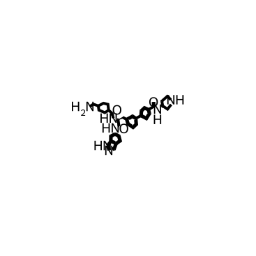 NCC1CCC(C(=O)N[C@@H](Cc2cccc(-c3ccc(C(=O)NC4CCNCC4)cc3)c2)C(=O)Nc2ccc3cn[nH]c3c2)CC1